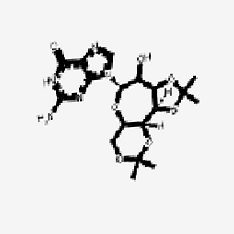 CC1(C)OCC2O[C@@H](n3cnc4c(=O)[nH]c(N)nc43)C(O)C3OC(C)(C)O[C@H]3[C@@H]2O1